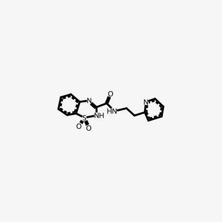 O=C(NCCc1ccccn1)C1=Nc2ccccc2S(=O)(=O)N1